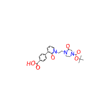 CC(C)(C)OC(=O)N1CCN(CCn2cccc(-c3ccc(C(=O)O)cc3)c2=O)C(=O)C1